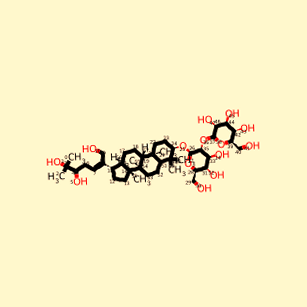 CC(C)(O)C(O)C/C=C(\CO)[C@H]1CC[C@]2(C)[C@@H]1CC[C@@H]1[C@@]3(C)CC[C@H](O[C@@H]4O[C@H](CO)[C@@H](O)[C@H](O)[C@H]4OC4O[C@H](CO)[C@@H](O)[C@H](O)[C@H]4O)C(C)(C)C3CC[C@]12C